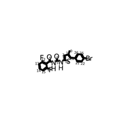 Cc1cc(NC(=O)NC(=O)c2c(F)cccc2F)sc1-c1ccc(Br)cc1